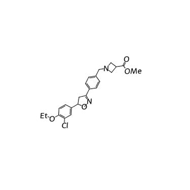 CCOc1ccc(C2CC(c3ccc(CN4CC(C(=O)OC)C4)cc3)=NO2)cc1Cl